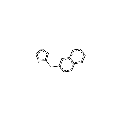 c1csc(Sc2ccc3ccccc3c2)c1